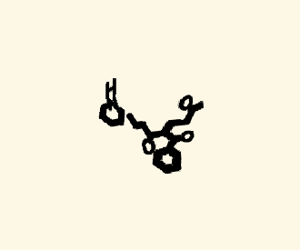 C1CCNCC1.CCCC1Oc2ccccc2C(=O)C1CCC(C)=O